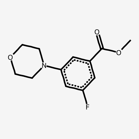 COC(=O)c1cc(F)cc(N2CCOCC2)c1